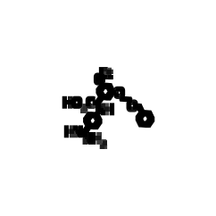 CCOc1cc(OCCOCc2ccccc2)cc(C(Nc2ccc(C(=N)N)cc2)C(=O)O)c1